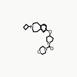 O=C(N1CCOCC1)N1CCC(Oc2ccc3c(c2)CCN(C2CCC2)CC3)CC1